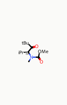 COC(=O)N(C)[C@H](C(=O)C(C)(C)C)C(C)C